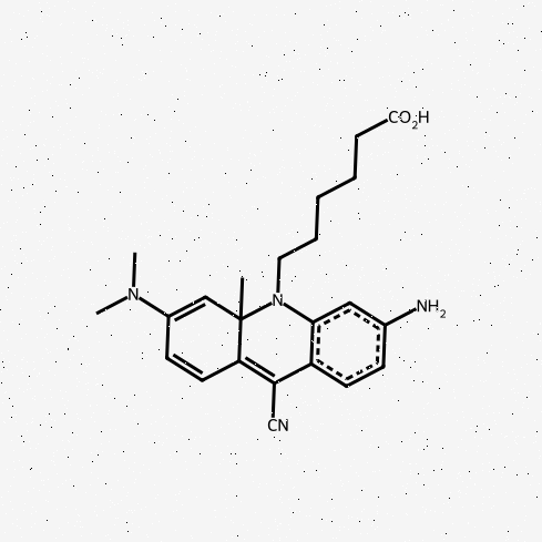 CN(C)C1=CC2(C)C(=C(C#N)c3ccc(N)cc3N2CCCCCC(=O)O)C=C1